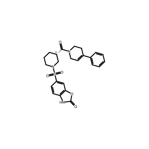 O=C([C@H]1CCCN(S(=O)(=O)c2ccc3[nH]c(=O)oc3c2)C1)N1CC=C(c2ccccc2)CC1